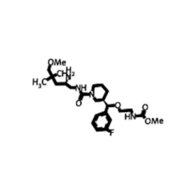 COCC(C)(C)C[C@@H](N)CNC(=O)N1CCC[C@@H](C(OCCNC(=O)OC)c2cccc(F)c2)C1